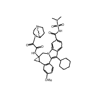 COc1ccc2c(c1)C1CC1(NC(=O)C(=O)N1CCN3CCC1CC3)Cn1c-2c(C2CCCCC2)c2ccc(C(=O)NS(=O)(=O)N(C)C)cc21